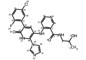 CC(O)CNC(=O)c1cnccc1Nc1cc(-c2cc(Cl)ccc2F)c(=O)[nH]c1-n1ccnc1